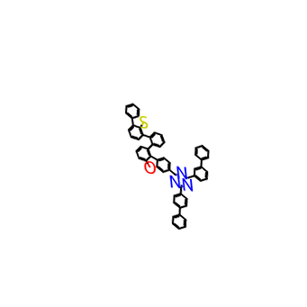 c1ccc(-c2ccc(-c3nc(-c4cccc(-c5ccccc5)c4)nc(-c4ccc5c(c4)oc4cccc(-c6ccccc6-c6cccc7c6sc6ccccc67)c45)n3)cc2)cc1